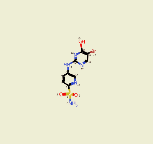 NS(=O)(=O)c1ccc(Nc2ncc(Br)c(O)n2)cn1